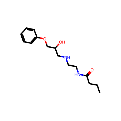 CCCC(=O)NCCNCC(O)COc1ccccc1